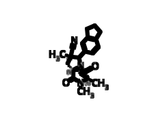 CN1C(=O)[C@@]23C[C@](C)(C#N)C(c4ccc5c(c4)CCC5)N2C(=O)[C@]1(C)SS3